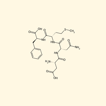 CSCC[C@H](NC(=O)[C@H](CC(N)=O)NC(=O)[C@@H](N)CC(=O)O)C(=O)N[C@@H](Cc1ccccc1)C(=O)O